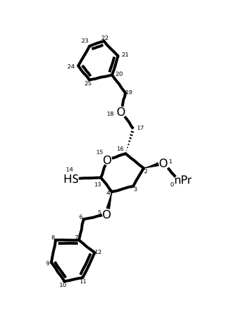 CCCO[C@H]1C[C@@H](OCc2ccccc2)C(S)O[C@@H]1COCc1ccccc1